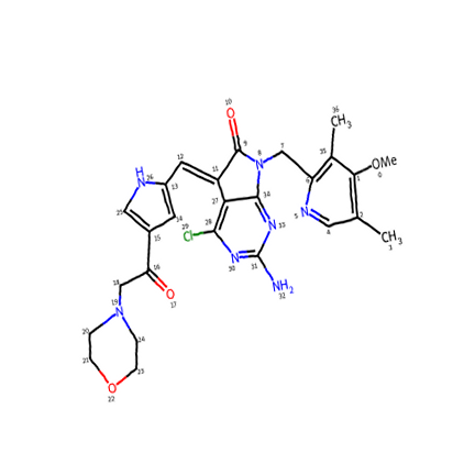 COc1c(C)cnc(CN2C(=O)/C(=C/c3cc(C(=O)CN4CCOCC4)c[nH]3)c3c(Cl)nc(N)nc32)c1C